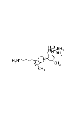 BC(B)(B)n1ncc2c(N3CCc4c(c(C)nn4CCCCCN)C3)cc(C)nc21